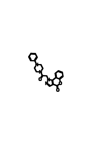 O=C(Cn1ncc2c(=O)oc3ccccc3c21)N1CCN(c2ccccc2)CC1